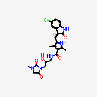 Cc1[nH]c(/C=C2\C(=O)Nc3ccc(Cl)cc32)c(C)c1C(=O)NCC(O)CN1C(=O)CN(C)C1=O